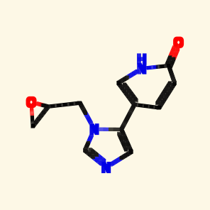 O=c1ccc(-c2cncn2CC2CO2)c[nH]1